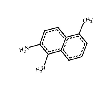 [CH2]c1cccc2c(N)c(N)ccc12